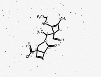 CC1=C(NCC(F)(F)F)C(C=N)(C(C)N2CC3(C(=N)Cl)C=CC3C2=O)C1